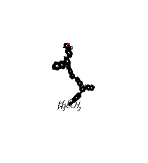 CC(C)(C)c1ccc(-c2cc3c4cc5ccccc5cc4n4c5cc6ccc(-c7ccc8cc9c(cc8c7)c7cc(-c8ccc%10oc%11ccccc%11c%10c8)cc8c%10cc%11ccccc%11cc%10n9c87)cc6cc5c(c2)c34)cc1